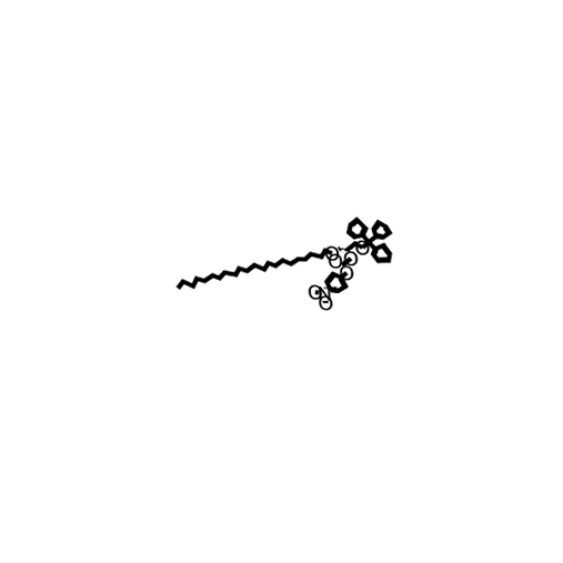 CCCCCCCCCCCCCCCCCCCCCCOC[C@H](COC(c1ccccc1)(c1ccccc1)c1ccccc1)OC(=O)Oc1ccc([N+](=O)[O-])cc1